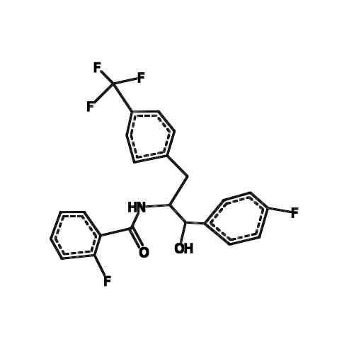 O=C(NC(Cc1ccc(C(F)(F)F)cc1)C(O)c1ccc(F)cc1)c1ccccc1F